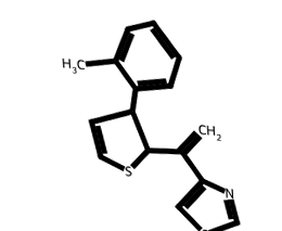 C=C(c1cscn1)C1SC=CC1c1ccccc1C